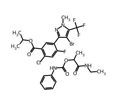 CC(C)OC(=O)c1cc(-c2nn(C)c(C(F)(F)F)c2Br)c(F)cc1Cl.CCNC(=O)C(C)OC(=O)Nc1ccccc1